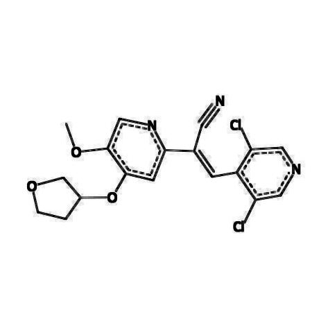 COc1cnc(C(C#N)=Cc2c(Cl)cncc2Cl)cc1OC1CCOC1